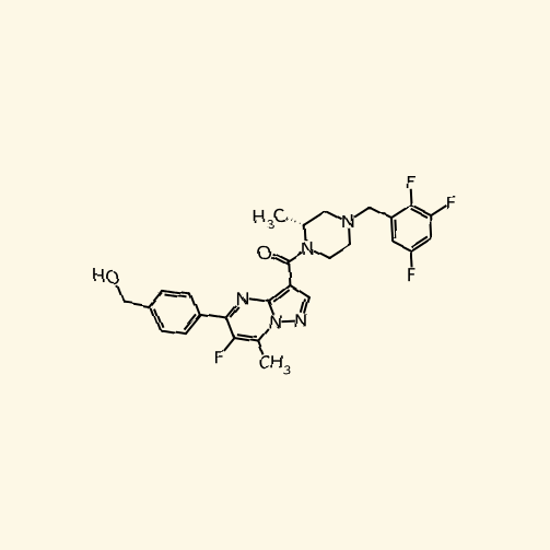 Cc1c(F)c(-c2ccc(CO)cc2)nc2c(C(=O)N3CCN(Cc4cc(F)cc(F)c4F)C[C@H]3C)cnn12